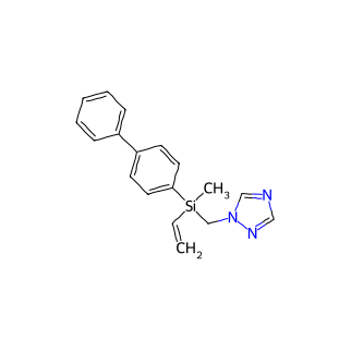 C=C[Si](C)(Cn1cncn1)c1ccc(-c2ccccc2)cc1